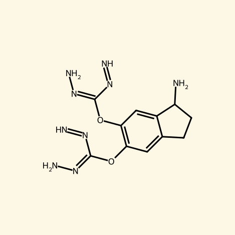 N=NC(=NN)Oc1cc2c(cc1OC(N=N)=NN)C(N)CC2